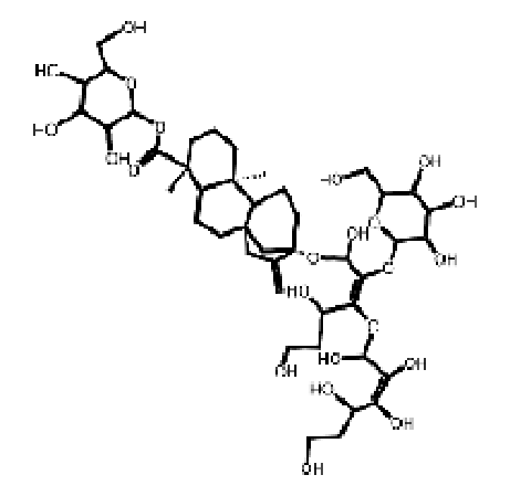 C=C1C[C@@]23CCC4[C@@](C)(CCC[C@@]4(C)C(=O)OC4OC(CO)C(O)C(O)C4O)C2CC[C@]1(OC(O)/C(OC1OC(CO)C(O)C(O)C1O)=C(/OC(O)/C(O)=C(/O)C(O)CCO)C(O)CCO)C3